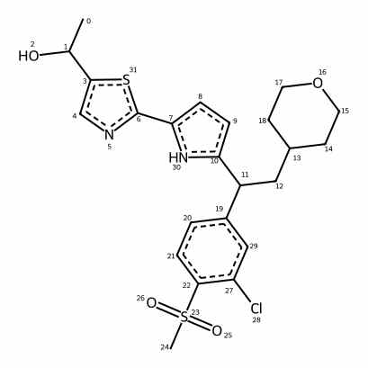 CC(O)c1cnc(-c2ccc(C(CC3CCOCC3)c3ccc(S(C)(=O)=O)c(Cl)c3)[nH]2)s1